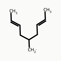 [CH2]C(CC=CC)CC=CC